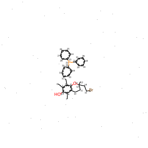 Cc1c(C)c2c(c(C)c1O)CCC(C)(CCBr)O2.c1ccc(P(c2ccccc2)c2ccccc2)cc1